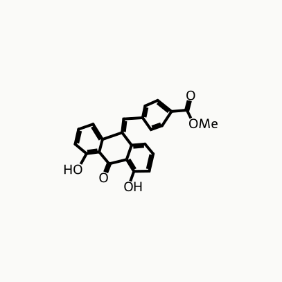 COC(=O)c1ccc(C=C2c3cccc(O)c3C(=O)c3c(O)cccc32)cc1